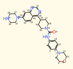 O=C(Nc1ccc(N2CCOCC2)cc1)N1CCC(c2ncnc3cc(N4CCNCC4)ccc23)CC1